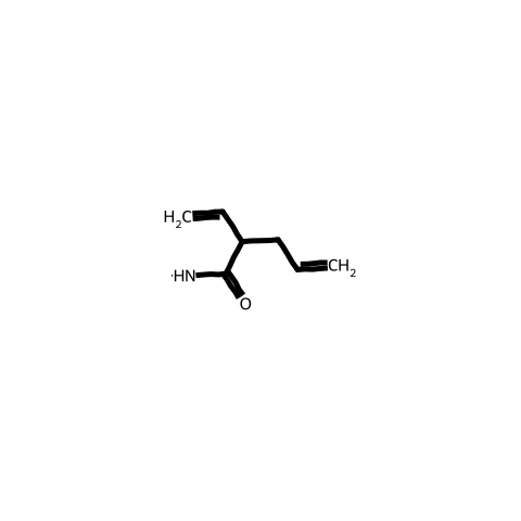 C=CCC(C=C)C([NH])=O